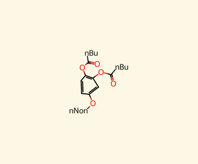 CCCCCCCCCOc1ccc(OC(=O)CCCC)c(OC(=O)CCCC)c1